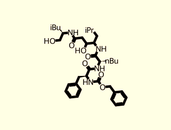 CCCC[C@H](NC(=O)[C@H](Cc1ccccc1)NC(=O)OCc1ccccc1)C(=O)NC(CC(C)C)C(O)CC(=O)N[C@H](CO)C(C)CC